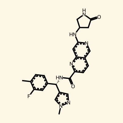 Cc1ccc([C@H](NC(=O)c2ccc3cnc(NC4CNC(=O)C4)cc3n2)c2cnn(C)c2)cc1F